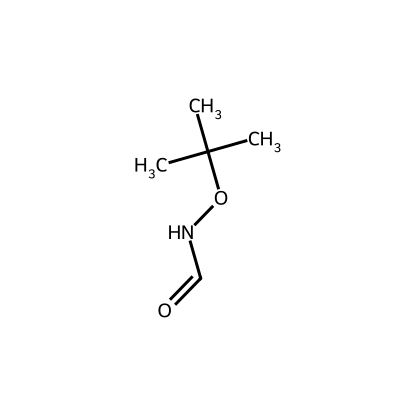 CC(C)(C)ONC=O